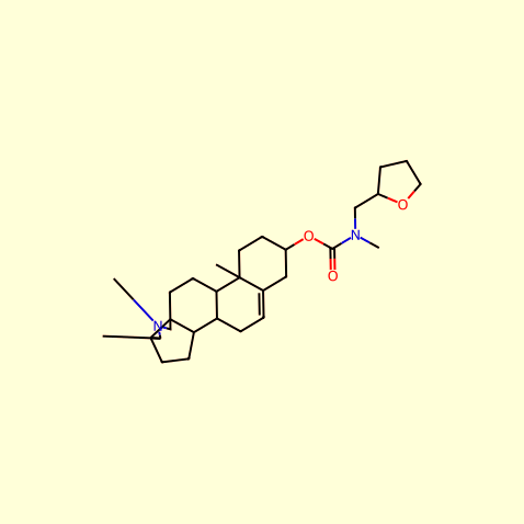 CC1C2CCC3C4CC=C5CC(OC(=O)N(C)CC6CCCO6)CCC5(C)C4CCC32CN1C